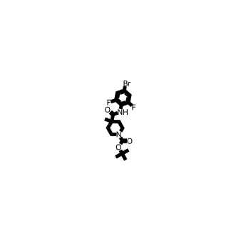 CC(C)(C)OC(=O)N1CCC(C)(C(=O)Nc2c(F)cc(Br)cc2F)CC1